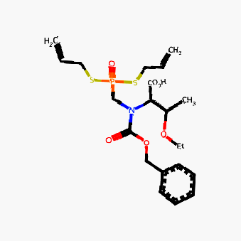 C=CCSP(=O)(CN(C(=O)OCc1ccccc1)C(C(=O)O)C(C)OCC)SCC=C